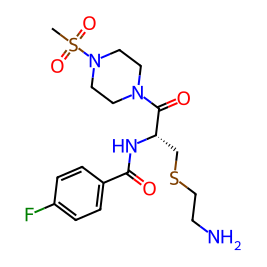 CS(=O)(=O)N1CCN(C(=O)[C@H](CSCCN)NC(=O)c2ccc(F)cc2)CC1